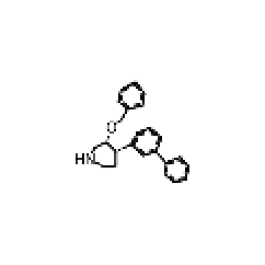 c1ccc(CO[C@H]2CNCC[C@@H]2c2cccc(-c3ccccc3)c2)cc1